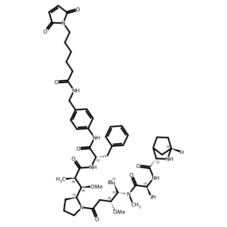 CC[C@H](C)[C@@H]([C@@H](CC(=O)N1CCC[C@H]1[C@H](OC)[C@@H](C)C(=O)N[C@@H](Cc1ccccc1)C(=O)Nc1ccc(CNC(=O)CCCCCN2C(=O)C=CC2=O)cc1)OC)N(C)C(=O)[C@@H](NC(=O)[C@H]1N[C@H]2CCC1C2)C(C)C